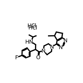 CC(C)NCC(C(=O)N1CCN(c2ncnc3c2C(C)CC3)CC1)c1ccc(F)cc1.Cl.Cl